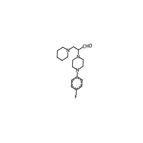 O=CC(CN1CCCCC1)N1CCN(c2ccc(F)cc2)CC1